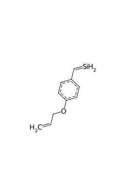 C=CCOc1ccc(C=[SiH2])cc1